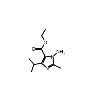 CCOC(=O)c1c(C(C)C)nc(C)n1N